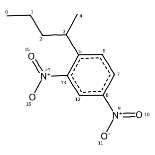 CCCC(C)c1ccc([N+](=O)[O-])cc1[N+](=O)[O-]